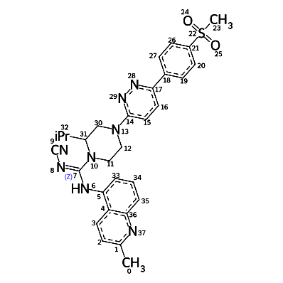 Cc1ccc2c(N/C(=N/C#N)N3CCN(c4ccc(-c5ccc(S(C)(=O)=O)cc5)nn4)CC3C(C)C)cccc2n1